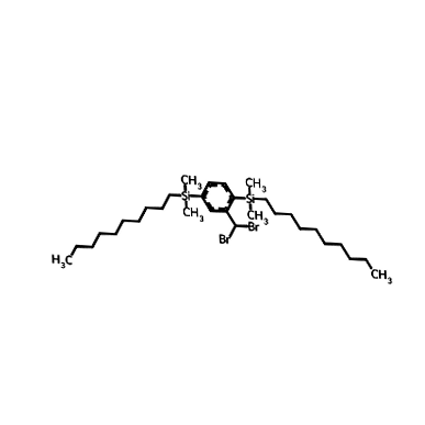 CCCCCCCCCC[Si](C)(C)c1ccc([Si](C)(C)CCCCCCCCCC)c(C(Br)Br)c1